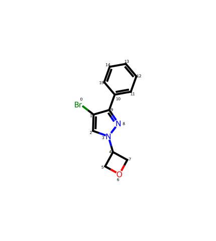 Brc1cn(C2COC2)nc1-c1ccccc1